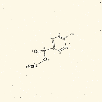 [CH2]c1ccc(C(=O)OCCCCC)cc1